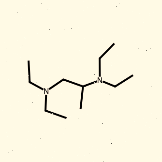 CCN(CC)C[C](C)N(CC)CC